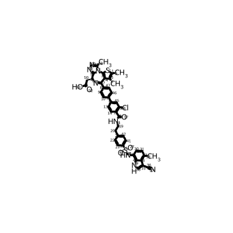 Cc1sc2c(c1C)C(c1ccc(-c3ccc(C(=O)NCCc4ccc(S(=O)(=O)Nc5ccc(C)c6c(C#N)c[nH]c56)cc4)c(Cl)c3)cc1)=N[C@@H](CC(=O)O)c1nnc(C)n1-2